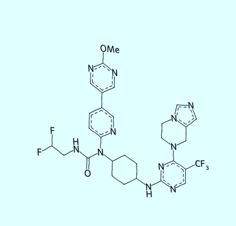 COc1ncc(-c2ccc(N(C(=O)NCC(F)F)C3CCC(Nc4ncc(C(F)(F)F)c(N5CCn6cncc6C5)n4)CC3)nc2)cn1